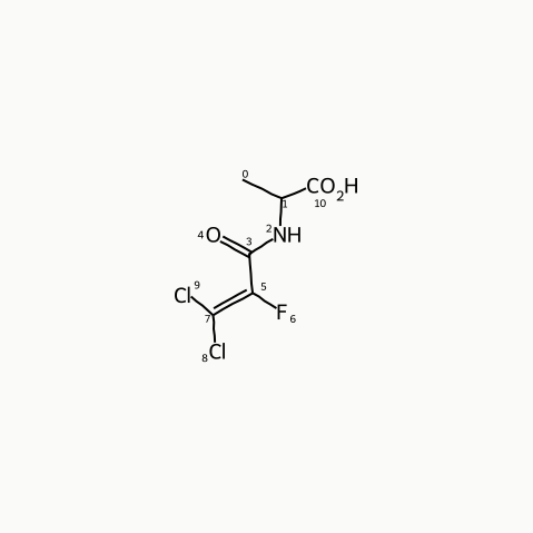 CC(NC(=O)C(F)=C(Cl)Cl)C(=O)O